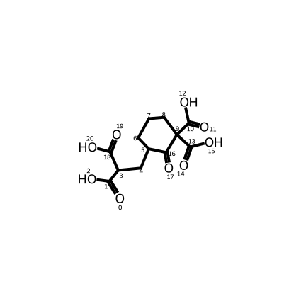 O=C(O)C(CC1CCCC(C(=O)O)(C(=O)O)C1=O)C(=O)O